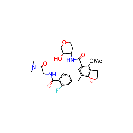 COc1c(C(=O)NC2CCOC[C@@H]2O)cc(Cc2ccc(C(=O)NCC(=O)N(C)C)c(F)c2)c2c1CCO2